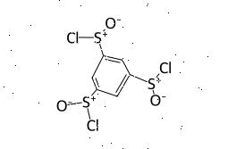 [O-][S+](Cl)c1cc([S+]([O-])Cl)cc([S+]([O-])Cl)c1